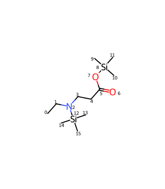 CCN(CCC(=O)O[Si](C)(C)C)[Si](C)(C)C